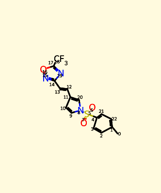 Cc1ccc(S(=O)(=O)n2ccc(/C=C/c3noc(C(F)(F)F)n3)c2)cc1